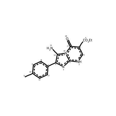 CCOC(=O)c1c[nH]c2nc(-c3ccc(C)cc3)c(N)n2c1=O